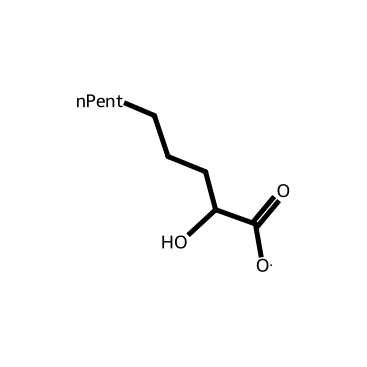 CCCCCCCCC(O)C([O])=O